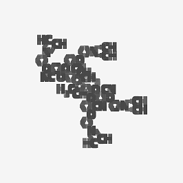 C#CCN(CC#C)c1cccc(Oc2cccc(Oc3cc4c(cc3Oc3cccc(Oc5cccc(N(CC#C)CC#C)c5)c3C#N)C(C)(C)C3c5cc(Oc6cccc(Oc7cccc(N(CC#C)CC#C)c7)c6C#N)c(Oc6cccc(Oc7cccc(N(CC#C)CC#C)c7)c6C#N)cc5C(C)(C)C43)c2C#N)c1